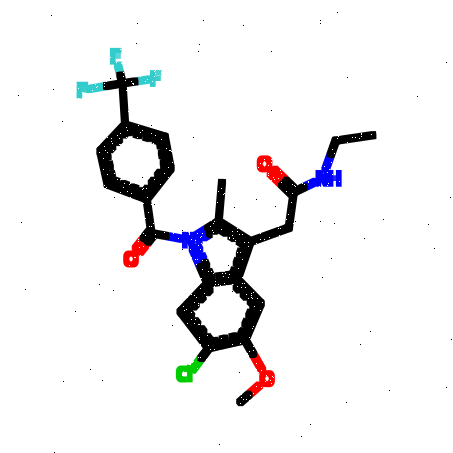 CCNC(=O)Cc1c(C)n(C(=O)c2ccc(C(F)(F)F)cc2)c2cc(Cl)c(OC)cc12